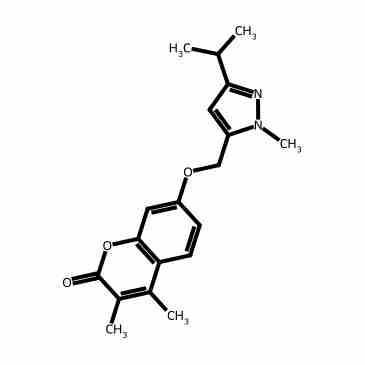 Cc1c(C)c2ccc(OCc3cc(C(C)C)nn3C)cc2oc1=O